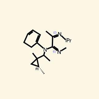 C/N=C(\C(C)=N/C(C)C)N(C1=CC=CCC1)C(C)C1(C)C[C@H]1C